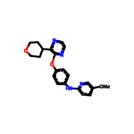 COc1ccc(Nc2ccc(Oc3nccnc3C3CCOCC3)cc2)nc1